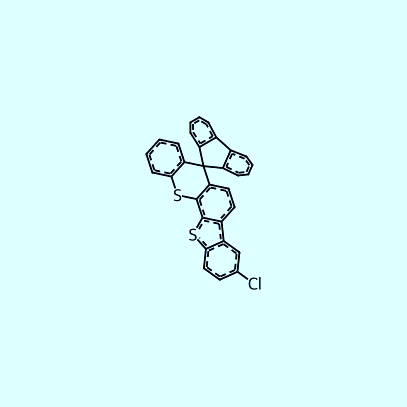 Clc1ccc2sc3c4c(ccc3c2c1)C1(c2ccccc2S4)c2ccccc2-c2ccccc21